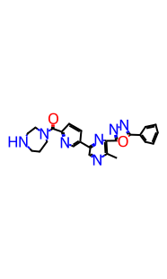 Cc1ncc(-c2ccc(C(=O)N3CCCNCC3)nc2)nc1-c1nnc(-c2ccccc2)o1